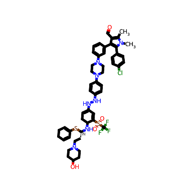 Cc1c(C=O)c(-c2cccc(N3CCN(c4ccc(NNC5=CCC(N[C@H](CCN6CCC(O)CC6)SC6=CCCC=C6)C(S(=O)(=O)C(F)(F)F)=C5)cc4)CC3)c2)c(-c2ccc(Cl)cc2)n1C